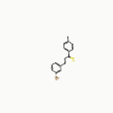 Cc1ccc(C(=S)C=Cc2cccc(Br)c2)cc1